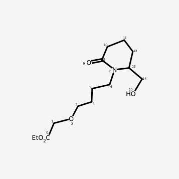 CCOC(=O)COCCCCN1C(=O)CCCC1CO